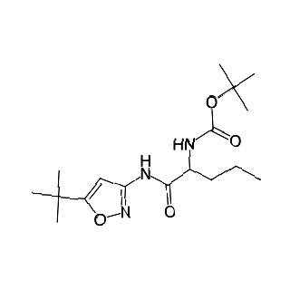 CCCC(NC(=O)OC(C)(C)C)C(=O)Nc1cc(C(C)(C)C)on1